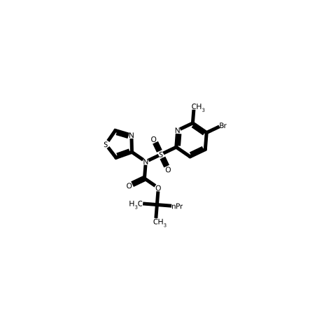 CCCC(C)(C)OC(=O)N(c1cscn1)S(=O)(=O)c1ccc(Br)c(C)n1